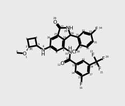 CO[C@@H]1CCC1Nc1cc(NC(=O)c2cc(F)cc(C(F)(F)F)c2)c2c(c1)C(=O)NC2c1cc(F)ccc1Cl